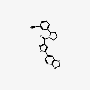 N#Cc1cccc(C2CCCN2C(=O)c2cc(-c3ccc4c(c3)OCO4)on2)c1